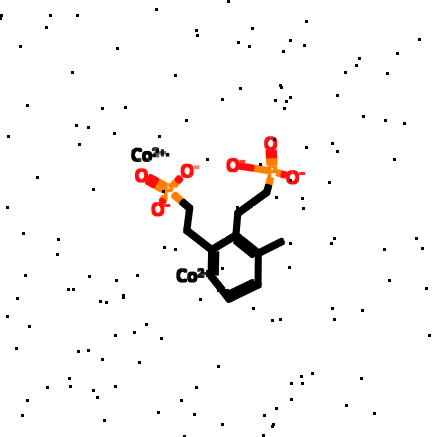 Cc1cccc(CCP(=O)([O-])[O-])c1CCP(=O)([O-])[O-].[Co+2].[Co+2]